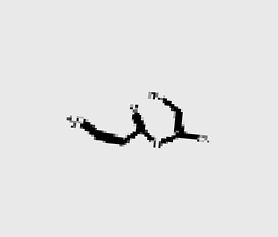 C=C=CC(=O)OC(C#N)=CC#N